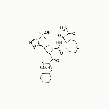 CC(C)(O)c1cnnn1[C@H]1C[C@@H](C(=O)NC2(C(=O)C(N)=O)CCCOCC2)N(C(=O)C(CC2CCCCC2)NC(=O)O)C1